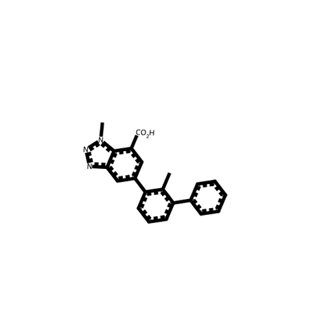 Cc1c(-c2ccccc2)cccc1-c1cc(C(=O)O)c2c(c1)nnn2C